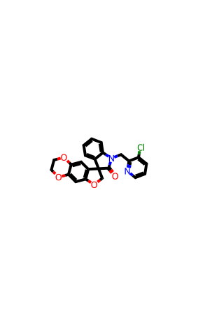 O=C1N(Cc2ncccc2Cl)c2ccccc2C12COc1cc3c(cc12)OCCO3